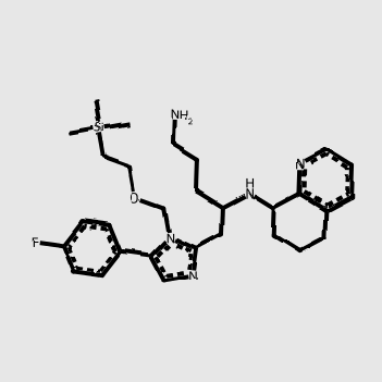 C[Si](C)(C)CCOCn1c(-c2ccc(F)cc2)cnc1CC(CCCN)NC1CCCc2cccnc21